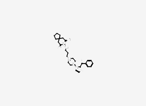 O=C(c1ccccc1)C1SC=CN1N1CCN(CCCON2C(=O)CC3(CCCC3)CC2=O)CC1